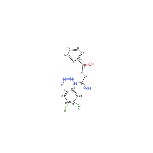 C/N=N\N(C(=N)CCC(=O)c1ccccc1)c1ccc(F)c(Cl)c1